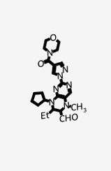 CCC1C(C=O)N(C)c2cnc(-n3cc(C(=O)N4CCOCC4)cn3)nc2N1C1CCCC1